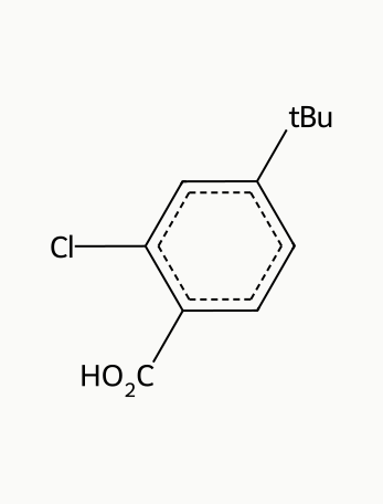 CC(C)(C)c1ccc(C(=O)O)c(Cl)c1